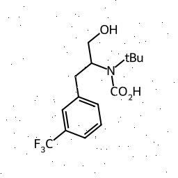 CC(C)(C)N(C(=O)O)C(CO)Cc1cccc(C(F)(F)F)c1